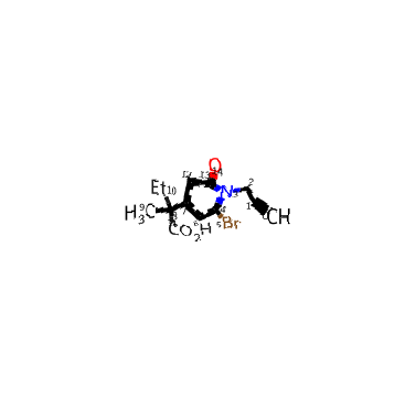 C#CCn1c(Br)cc(C(C)(CC)C(=O)O)cc1=O